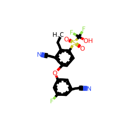 CCc1c(S(=O)(=O)C(O)(F)F)ccc(Oc2cc(F)cc(C#N)c2)c1C#N